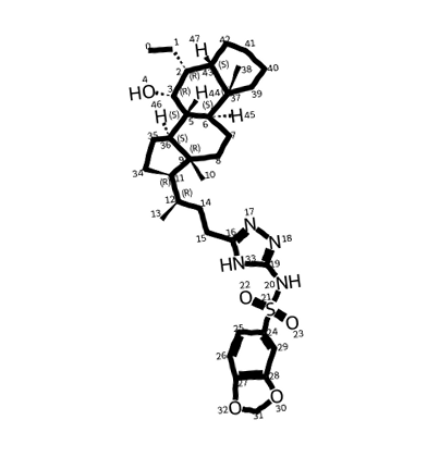 CC[C@H]1[C@@H](O)[C@@H]2[C@H](CC[C@]3(C)[C@@H]([C@H](C)CCc4nnc(NS(=O)(=O)c5ccc6c(c5)OCO6)[nH]4)CC[C@@H]23)[C@@]2(C)CCCC[C@@H]12